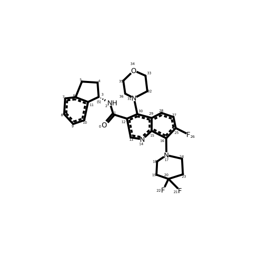 O=C(N[C@H]1CCc2ccccc21)c1cnc2c(N3CCC(F)(F)CC3)c(F)ccc2c1N1CCOCC1